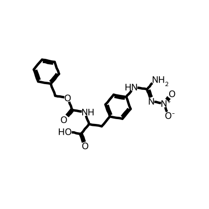 NC(=N[N+](=O)[O-])Nc1ccc(CC(NC(=O)OCc2ccccc2)C(=O)O)cc1